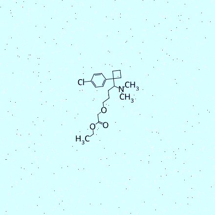 CCOC(=O)COCCCC(N(C)C)C1(c2ccc(Cl)cc2)CCC1